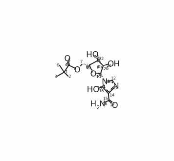 CC(C)(C)C(=O)OC[C@H]1O[C@@H](n2cnc(C(N)=O)c2O)[C@H](O)[C@@H]1O